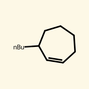 CCCCC1C=CCCCC1